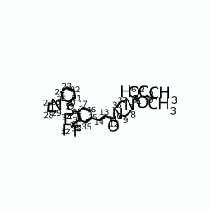 CC(C)(C)OC(=O)N1CCN(C(=O)C=Cc2ccc(Sc3ccccc3N3CCC3)c(C(F)(F)F)c2)CC1